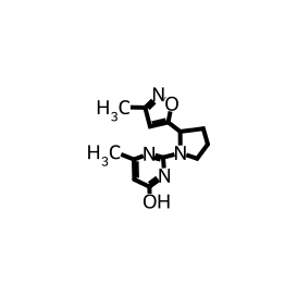 Cc1cc(C2CCCN2c2nc(C)cc(O)n2)on1